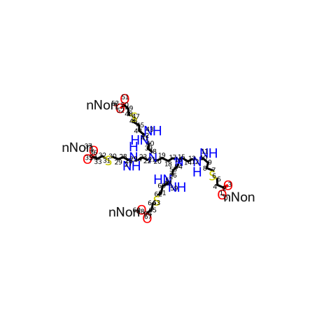 CCCCCCCCCOC(=O)CCSCCCC(=N)NCCCN(CCCCN(CCCNC(=N)CCCSCCC(=O)OCCCCCCCCC)CCCNC(=N)CCCSCCC(=O)OCCCCCCCCC)CCCNC(=N)CCCSCCC(=O)OCCCCCCCCC